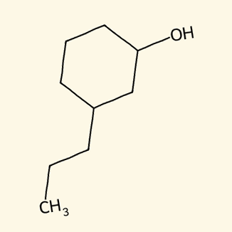 CCCC1CCCC(O)C1